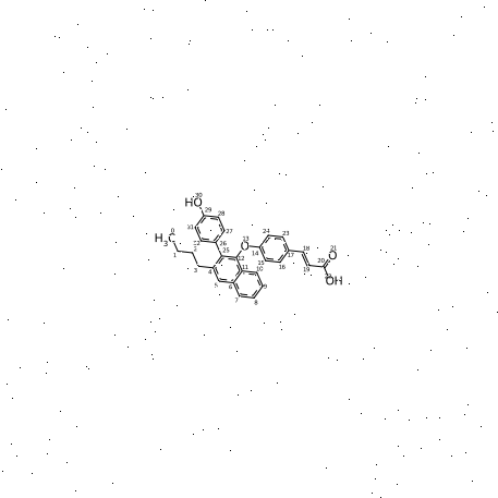 CCCCc1cc2ccccc2c(Oc2ccc(C=CC(=O)O)cc2)c1-c1ccc(O)cc1